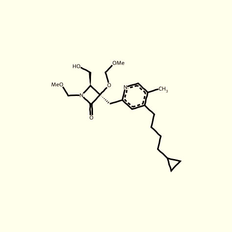 COCO[C@@]1(Cc2cc(CCCCC3CC3)c(C)cn2)C(=O)N(COC)[C@H]1CO